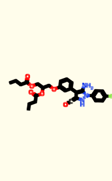 CCCC(=O)OCC(COc1cccc(C2=C(N)N(c3ccc(F)cc3)NC2=C=O)c1)OC(=O)CCC